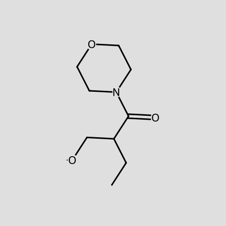 CCC(C[O])C(=O)N1CCOCC1